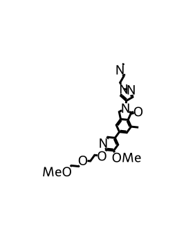 CN=CCn1cc(N2Cc3cc(-c4cnc(OCCOCCOC)c(OC)c4)cc(C)c3C2=O)cn1